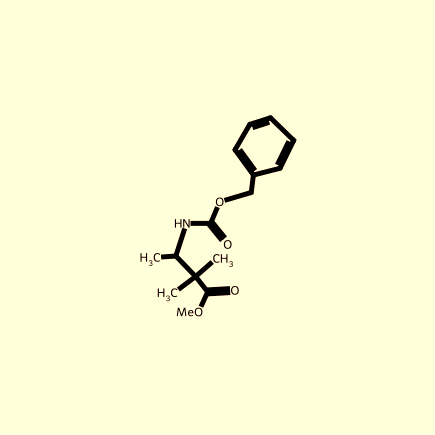 COC(=O)C(C)(C)C(C)NC(=O)OCc1ccccc1